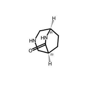 O=C1N[C@@H]2CC[C@H]1CNC2